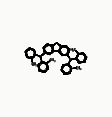 Cc1ccccc1N(c1ccc2c(c1)-c1cc(N(c3ccccc3C)c3ccccc3C)ccc1C2)c1ccccc1C